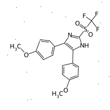 COc1ccc(-c2nc(S(=O)(=O)C(F)(F)F)[nH]c2-c2ccc(OC)cc2)cc1